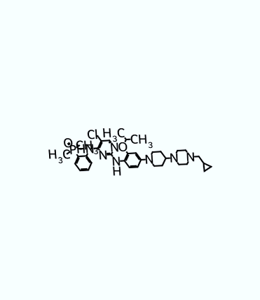 CC(C)Oc1cc(N2CCC(N3CCN(CC4CC4)CC3)CC2)ccc1Nc1ncc(Cl)c(Nc2ccccc2P(C)(C)=O)n1